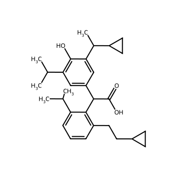 CC(C)c1cc(C(C(=O)O)c2c(CCC3CC3)cccc2C(C)C)cc(C(C)C2CC2)c1O